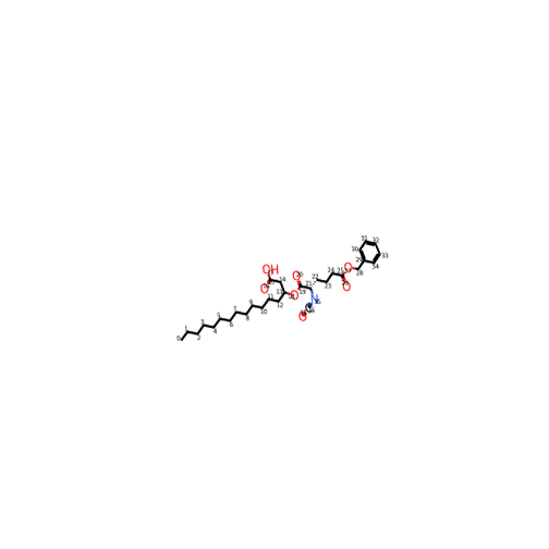 CCCCCCCCCCCCCC(CC(=O)O)OC(=O)[C@H](CCCC(=O)OCc1ccccc1)N=C=O